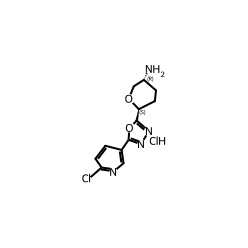 Cl.N[C@@H]1CC[C@@H](c2nnc(-c3ccc(Cl)nc3)o2)OC1